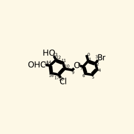 Cc1c(Br)cccc1OCc1cc(O)c(C=O)cc1Cl